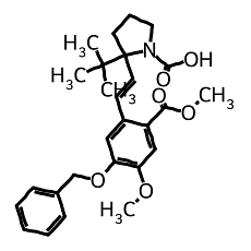 COC(=O)c1cc(OC)c(OCc2ccccc2)cc1C=CC1(C(C)(C)C)CCCN1C(=O)O